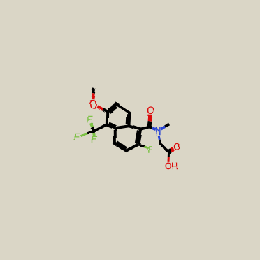 COc1ccc2c(C(=O)N(C)CC(=O)O)c(F)ccc2c1C(F)(F)F